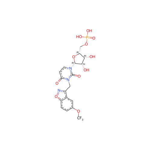 O=c1ccn([C@@H]2O[C@H](COP(=O)(O)O)[C@H](O)[C@@H]2O)c(=O)n1Cc1noc2ccc(OC(F)(F)F)cc12